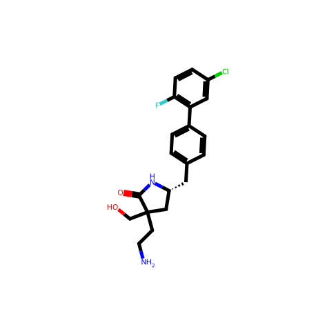 NCCC1(CO)C[C@@H](Cc2ccc(-c3cc(Cl)ccc3F)cc2)NC1=O